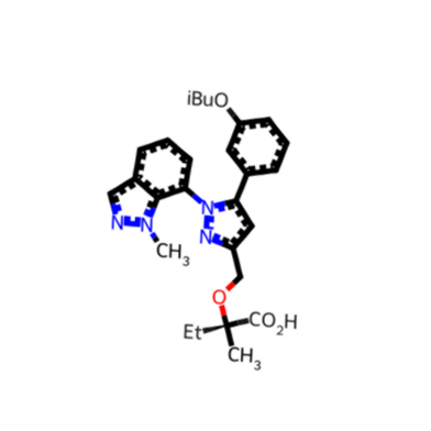 CC[C@@](C)(OCc1cc(-c2cccc(OCC(C)C)c2)n(-c2cccc3cnn(C)c23)n1)C(=O)O